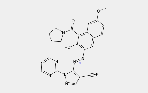 COc1ccc2cc(/N=N/c3c(C#N)cnn3-c3ncccn3)c(O)c(C(=O)N3CCCC3)c2c1